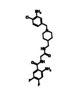 Nc1cc(CN2CCC(CNC(=O)CNC(=O)c3cc(F)c(F)cc3N)CC2)ccc1Cl